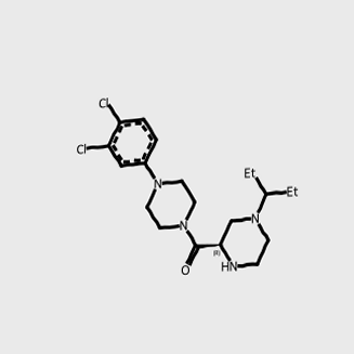 CCC(CC)N1CCN[C@@H](C(=O)N2CCN(c3ccc(Cl)c(Cl)c3)CC2)C1